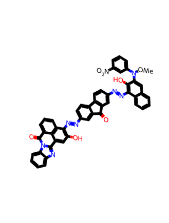 CON(c1cccc([N+](=O)[O-])c1)c1cc2ccccc2c(N=Nc2ccc3c(c2)C(=O)c2cc(N=Nc4c(O)cc5c6c4cccc6c(=O)n4c6ccccc6nc54)ccc2-3)c1O